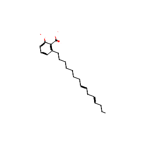 CCCC=CCC=CCCCCCCCc1cccc(OC)c1C(=O)OC